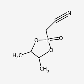 CC1OP(=O)(CC#N)OC1C